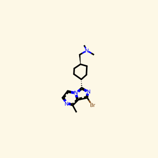 Cc1nccn2c1c(Br)nc2[C@H]1CC[C@H](CN(C)C)CC1